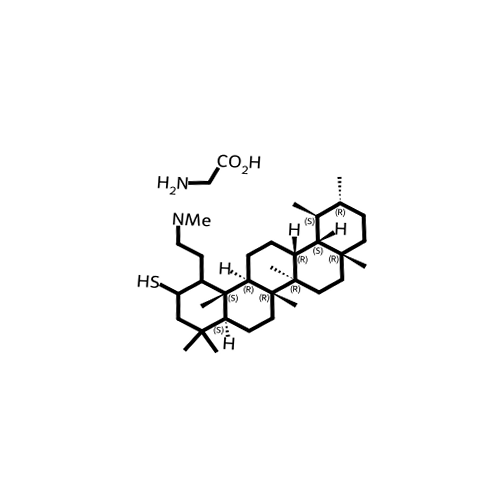 CNCCC1C(S)CC(C)(C)[C@@H]2CC[C@]3(C)[C@H](CC[C@@H]4[C@@H]5[C@@H](C)[C@H](C)CC[C@]5(C)CC[C@]43C)[C@@]12C.NCC(=O)O